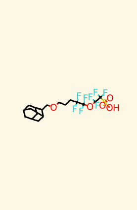 O=S(=O)(O)C(F)(F)C(F)(F)OC(F)(F)C(F)(F)CCCOCC1C2CC3CC(C2)CC1C3